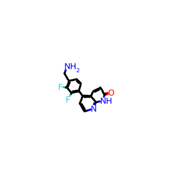 NCc1ccc(-c2ccnc3[nH]c(=O)ccc23)c(F)c1F